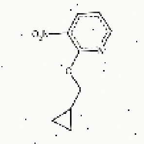 O=[N+]([O-])c1cccnc1OCC1CC1